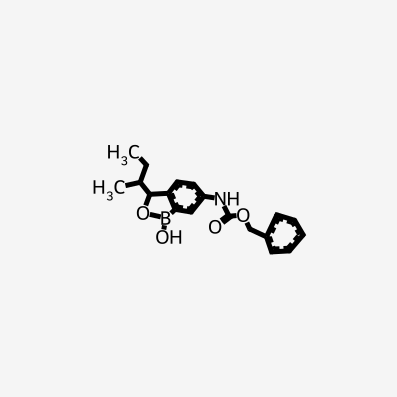 CCC(C)C1OB(O)c2cc(NC(=O)OCc3ccccc3)ccc21